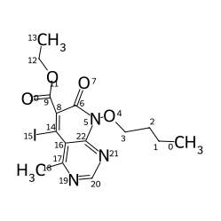 CCCCOn1c(=O)c(C(=O)OCC)c(I)c2c(C)ncnc21